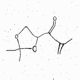 C=C(C)C(=O)C1COC(C)(C)O1